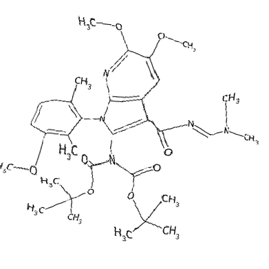 COc1cc2c(C(=O)/N=C/N(C)C)c(N(C(=O)OC(C)(C)C)C(=O)OC(C)(C)C)n(-c3c(C)ccc(OC)c3C)c2nc1OC